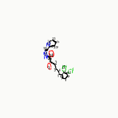 O=C(CCCCc1cccc(Cl)c1Cl)c1ncc(-c2ccccn2)o1